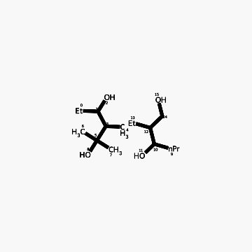 CCC(O)C(C)C(C)(C)O.CCCC(O)C(CC)CO